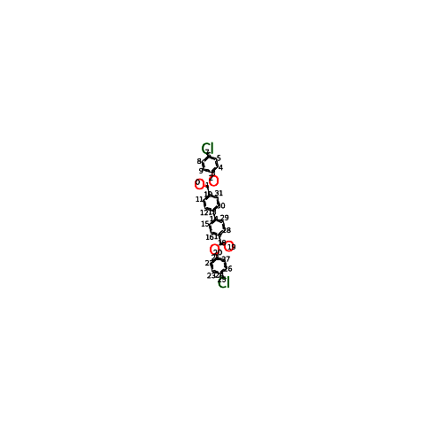 O=C(Oc1ccc(Cl)cc1)c1ccc(-c2ccc(C(=O)Oc3ccc(Cl)cc3)cc2)cc1